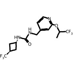 CC(Oc1cc(CNC(=O)N[C@H]2C[C@H](C(F)(F)F)C2)ccn1)C(F)(F)F